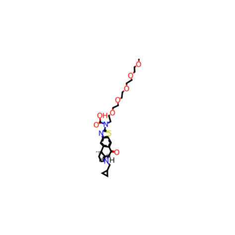 COCCOCCOCCOCCOCCN(C(=O)O)c1nc2cc3c(cc2s1)C(=O)[C@@H]1[C@H](C)[C@@]3(C)CCN1CC1CC1